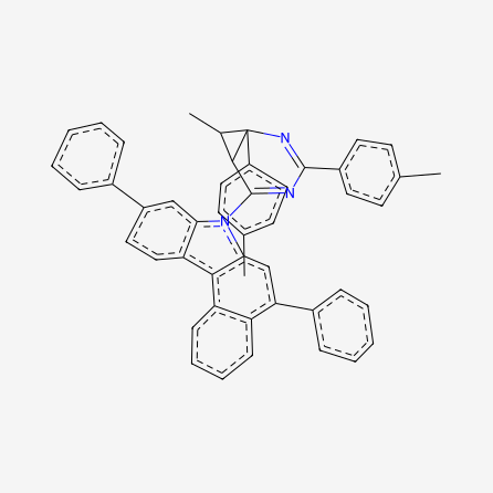 Cc1ccc(C2=NC3(c4ccc(C)cc4)C(C)C3C(n3c4cc(-c5ccccc5)ccc4c4c5ccccc5c(-c5ccccc5)cc43)=N2)cc1